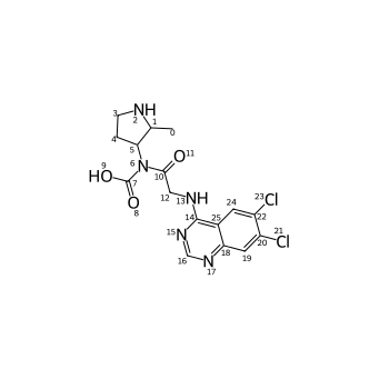 CC1NCCC1N(C(=O)O)C(=O)CNc1ncnc2cc(Cl)c(Cl)cc12